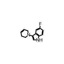 Fc1ccc2[nH]cc(N3CC=CCC3)c2c1